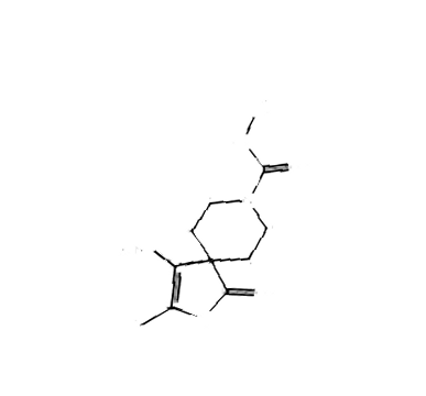 CC(=O)NC1=C(C)OC(=O)C12CCN(C(=O)OC(C)(C)C)CC2